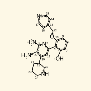 Nc1nc(-c2c(O)cccc2OCc2ccncc2)cc(C2CCCNC2)c1N